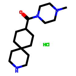 CN1CCN(C(=O)C2CCC3(CCNCC3)CC2)CC1.Cl